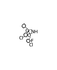 Fc1c(Cl)cccc1CO[C@H]1CNCC[C@@]1(OCc1ccccc1)c1ccc(Cl)cc1